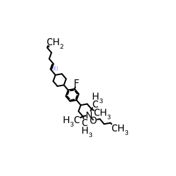 C=CCC/C=C/C1CCC(c2ccc(C3CC(C)(C)N(OCCCC)C(C)(C)C3)cc2F)CC1